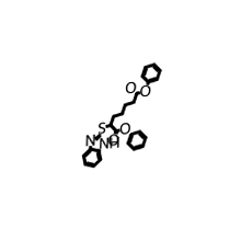 O=C(CCCCC(Sc1nc2ccccc2[nH]1)C(=O)Oc1ccccc1)Oc1ccccc1